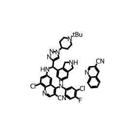 CC(C)(C)N1CCC(n2cc(C(Nc3cc(Cl)c4ncc(C#N)c(Nc5ccc(F)c(Cl)c5)c4c3)c3cccc4c3CNC4)nn2)CC1.N#Cc1cnc2ccccc2c1